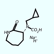 O=C1NCCCC[C@H]1N(CC1CC1)C(=O)O.[H-].[Na+]